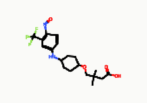 CC(C)(COC1CCC(Nc2ccc(N=O)c(C(F)(F)F)c2)CC1)CC(=O)O